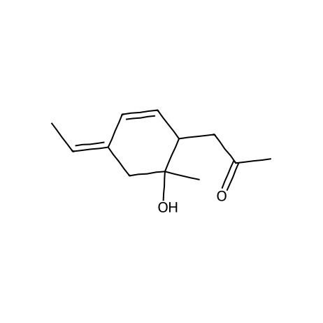 CC=C1C=CC(CC(C)=O)C(C)(O)C1